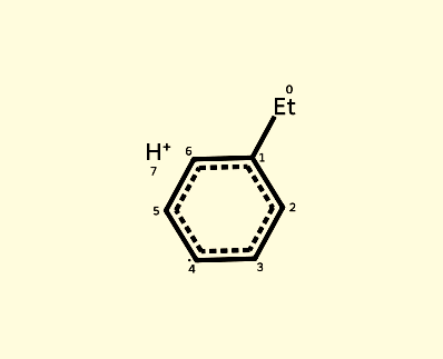 CCc1cc[c]cc1.[H+]